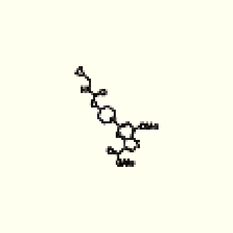 COC(=O)c1csc2c(OC)cc(N3CCC(OC(=O)NCC4CC4)CC3)nc12